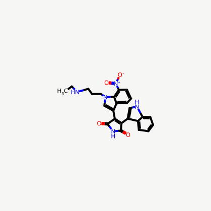 CCNCCCn1cc(C2=C(c3c[nH]c4ccccc34)C(=O)NC2=O)c2cccc([N+](=O)[O-])c21